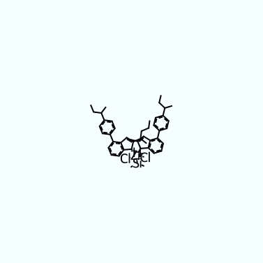 CCCC(C)C1=Cc2c(-c3ccc(C(C)CC)cc3)cccc2[CH]1[Zr]([Cl])([Cl])([CH]1C(C)=Cc2c(-c3ccc(C(C)CC)cc3)cccc21)[SiH](C)C